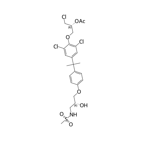 CC(=O)O[C@@H](CCl)COc1c(Cl)cc(C(C)(C)c2ccc(OC[C@H](O)CNS(C)(=O)=O)cc2)cc1Cl